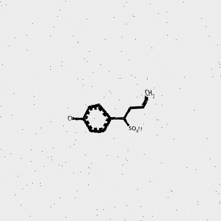 C=CCC(c1ccc(Cl)cc1)S(=O)(=O)O